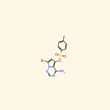 Cc1ccc(S(=O)(=O)Oc2cc(Br)n3ncnc(N)c23)cc1